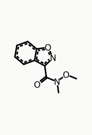 CON(C)C(=O)c1noc2ccccc12